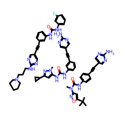 CN(C(=O)Nc1ccc(C#Cc2cnc(N)nc2)cc1)c1cc(C(C)(C)C)on1.Cn1nc(C2CC2)cc1NC(=O)Nc1cccc(C#Cc2cnc(N)nc2)c1.O=C(Nc1cccc(F)c1)Nc1cccc(C#Cc2cnc(NCCCN3CCCCC3)nc2)c1